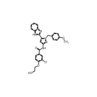 COc1ccc(Cn2nc(NC(=O)c3ccc(OCCO)c(Cl)c3)cc2-c2nc3ccccc3[nH]2)cc1